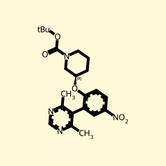 Cc1ncnc(C)c1-c1cc([N+](=O)[O-])ccc1O[C@@H]1CCCN(C(=O)OC(C)(C)C)C1